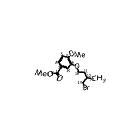 COC(=O)c1ccc(OC)c(OCCC(C)CBr)c1